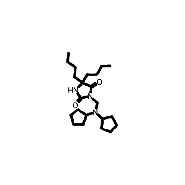 CCCCC1(CCCC)NC(=O)N(CN(C2CCCC2)C2CCCC2)C1=O